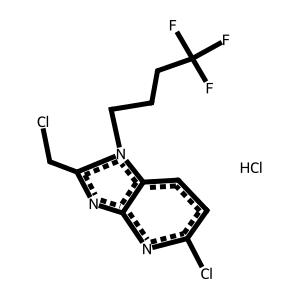 Cl.FC(F)(F)CCCn1c(CCl)nc2nc(Cl)ccc21